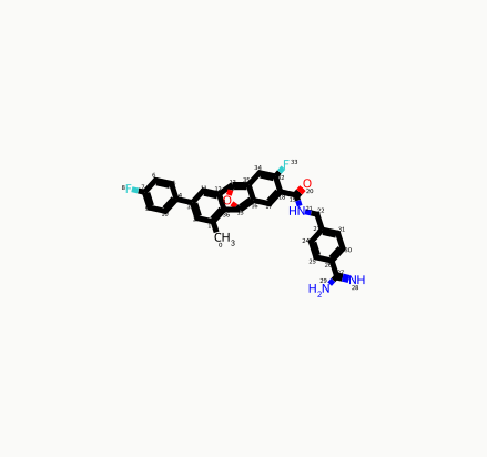 Cc1cc(-c2ccc(F)cc2)cc2c3oc(c4cc(C(=O)NCc5ccc(C(=N)N)cc5)c(F)cc43)c12